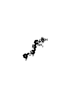 Nc1c(-c2cc(Cc3cnc(OCc4cccc(F)c4)c(F)c3)no2)ccc[n+]1COP(=O)([O-])O